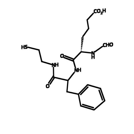 O=CN[C@@H](CCCC(=O)O)C(=O)NC(Cc1ccccc1)C(=O)NCCS